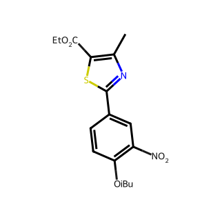 CCOC(=O)c1sc(-c2ccc(OCC(C)C)c([N+](=O)[O-])c2)nc1C